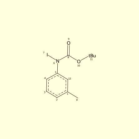 Cc1cccc(N(I)C(=O)OC(C)(C)C)c1